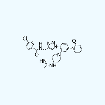 CC(=N)NC1CCN(c2cc(-n3ccccc3=O)ccc2-n2cc(CNC(=O)c3ccc(Cl)s3)nn2)CC1